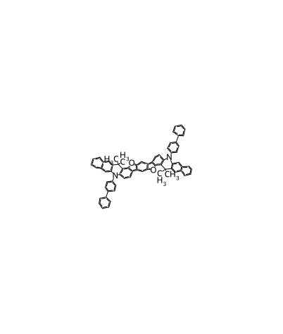 CC1(C)c2cc3ccccc3cc2N(c2ccc(-c3ccccc3)cc2)c2ccc3c(oc4cc5c(cc43)oc3c4c(ccc35)N(c3ccc(-c5ccccc5)cc3)c3cc5ccccc5cc3C4(C)C)c21